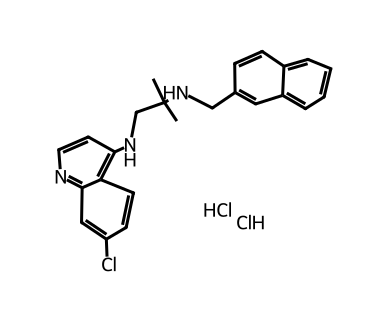 CC(C)(CNc1ccnc2cc(Cl)ccc12)NCc1ccc2ccccc2c1.Cl.Cl